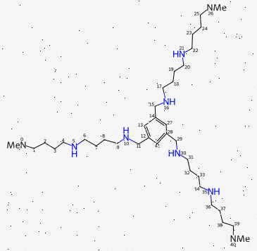 CNCCCCNCCCCNCc1cc(CNCCCCNCCCCNC)cc(CNCCCCNCCCCNC)c1